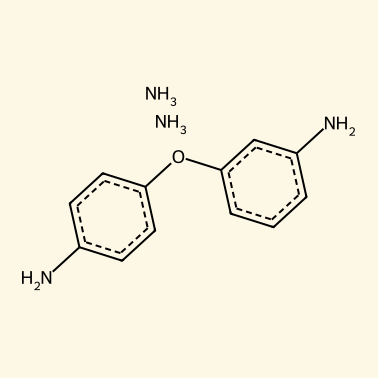 N.N.Nc1ccc(Oc2cccc(N)c2)cc1